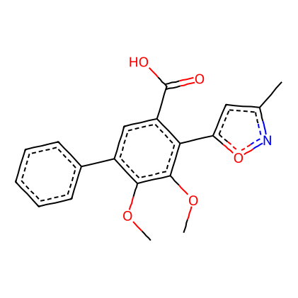 COc1c(-c2ccccc2)cc(C(=O)O)c(-c2cc(C)no2)c1OC